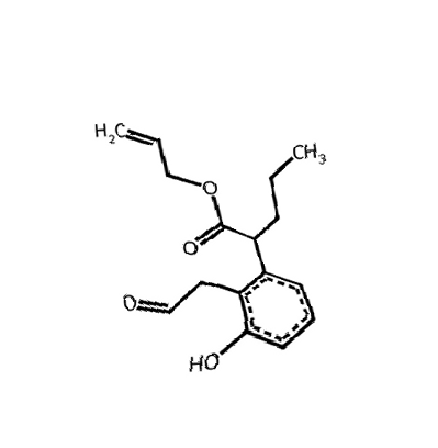 C=CCOC(=O)C(CCC)c1cccc(O)c1CC=O